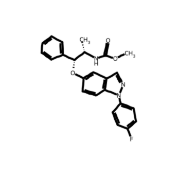 COC(=O)N[C@@H](C)[C@H](Oc1ccc2c(cnn2-c2ccc(F)cc2)c1)c1ccccc1